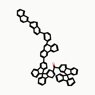 O=C(C1=CCC2C(=C1)C1(c3ccccc3-c3cc(-c4ccc5cc(-c6cccc(-c7ccc8cc(-c9ccc%10ccccc%10c9)ccc8c7)c6)c6ccccc6c5c4)ccc31)c1ccccc12)c1ccc2c(c1)C1(c3ccccc3-c3ccccc31)c1ccccc1-2